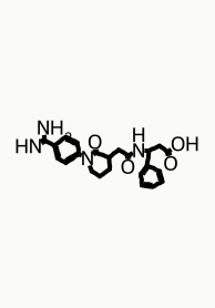 N=C(N)c1ccc(N2CCCC(CC(=O)NC(CC(=O)O)c3ccccc3)C2=O)cc1